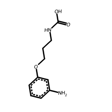 Nc1cccc(OCCCNC(=O)O)c1